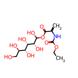 C=C(NC(=O)OCC)C(=O)OC(O)[C@H](O)[C@@H](O)[C@H](O)[C@H](O)CO